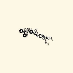 CC(C)OC(=O)CN1CCN(CC2CN(c3ccc(C(=N)NC(=O)C(c4ccccc4)c4ccccc4)cc3)C(=O)O2)CC1